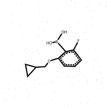 OB(O)c1c(F)cccc1OCC1CC1